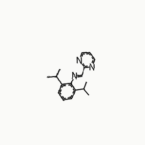 CC(C)c1cccc(C(C)C)c1N=Cc1ncccn1